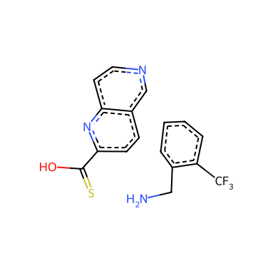 NCc1ccccc1C(F)(F)F.OC(=S)c1ccc2cnccc2n1